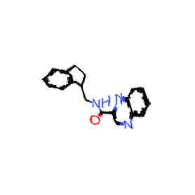 O=C(NCC1CCc2ccccc21)c1cnc2ccccc2n1